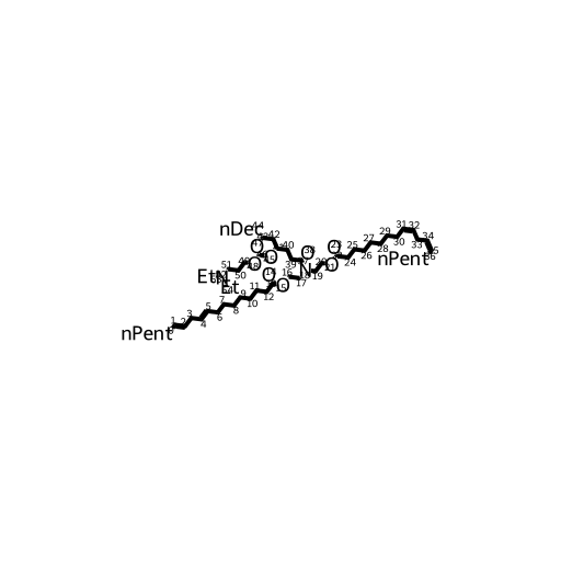 CCCCCC=CCC=CCCCCCCCC(=O)OCCN(CCOC(=O)CCCCCCC/C=C\C/C=C\CCCCC)C(=O)CCC(CCCCCCCCCCCC)OC(=O)OCCCN(CC)CC